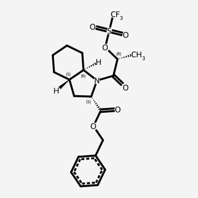 C[C@@H](OS(=O)(=O)C(F)(F)F)C(=O)N1[C@@H]2CCCC[C@H]2C[C@H]1C(=O)OCc1ccccc1